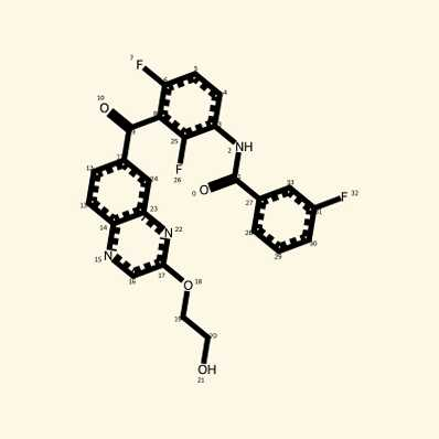 O=C(Nc1ccc(F)c(C(=O)c2ccc3ncc(OCCO)nc3c2)c1F)c1cccc(F)c1